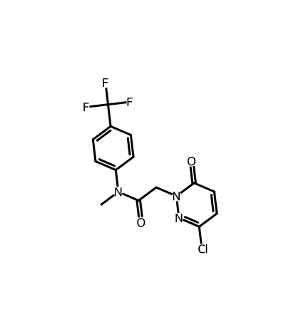 CN(C(=O)Cn1nc(Cl)ccc1=O)c1ccc(C(F)(F)F)cc1